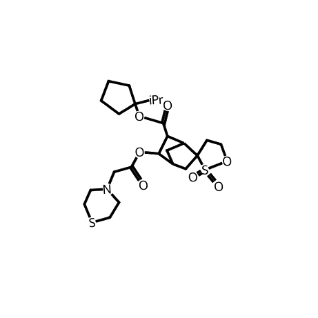 CC(C)C1(OC(=O)C2C(OC(=O)CN3CCSCC3)C3CC2C2(CCOS2(=O)=O)C3)CCCC1